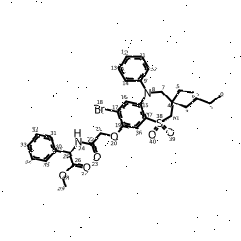 CCCC[C@]1(CC)CN(c2ccccc2)c2cc(Br)c(OCC(=O)N[C@@H](C(=O)OC)c3ccccc3)cc2S(=O)(=O)C1